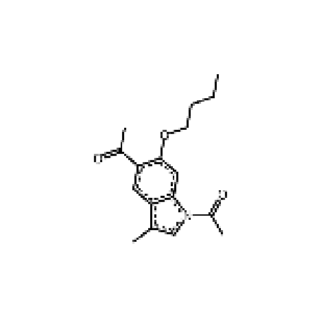 CCCCOc1cc2c(cc1C(C)=O)c(C)cn2C(C)=O